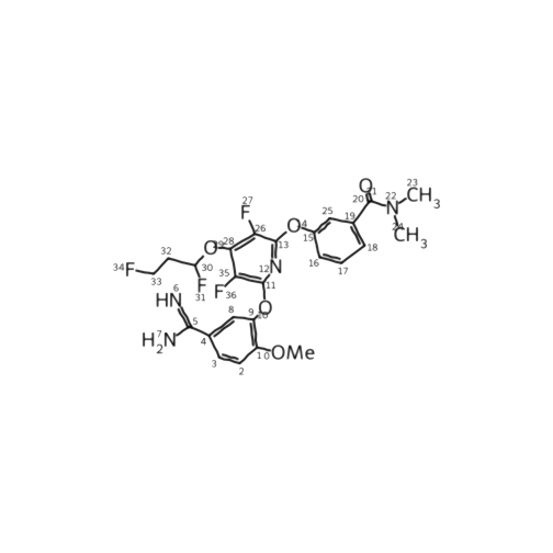 COc1ccc(C(=N)N)cc1Oc1nc(Oc2cccc(C(=O)N(C)C)c2)c(F)c(OC(F)CCF)c1F